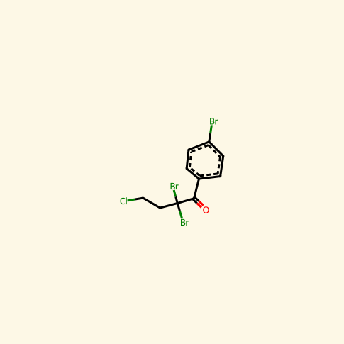 O=C(c1ccc(Br)cc1)C(Br)(Br)CCCl